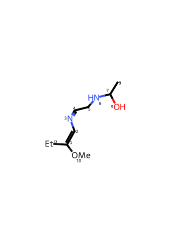 CC/C(=C\N=C/CNC(C)O)OC